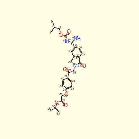 CC(C)COC(=O)NC(=N)c1ccc2c(c1)CN(CC(=O)c1ccc(OCC(=O)OC(C)C)cc1)C2=O